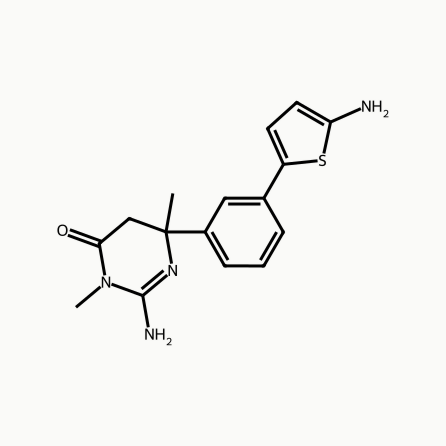 CN1C(=O)CC(C)(c2cccc(-c3ccc(N)s3)c2)N=C1N